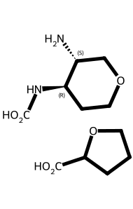 N[C@@H]1COCC[C@H]1NC(=O)O.O=C(O)C1CCCO1